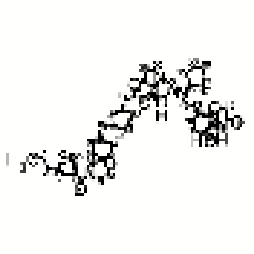 CCCc1cc(C(=O)N2CCOC3(CCN(Cc4cccc(CCOC5CCN(CCN(CCc6ccc(O)c7c6OCC(=O)N7)C6CCCCC6)[C@@H]5C(=O)O)c4)CC3)C2)cs1